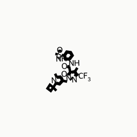 Cc1cc(C2(C)CCC2)nc(C)c1Oc1nnc(C(F)(F)F)c(C)c1C(=O)Nc1cccc(S(C)(=N)=O)c1